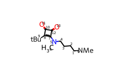 CNCCCCN(C)c1c(C(C)(C)C)c(=O)c1=O